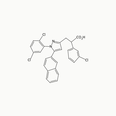 O=C(O)C(Cc1cc(-c2ccc3ccccc3c2)n(-c2cc(Cl)ccc2Cl)n1)c1cccc(Cl)c1